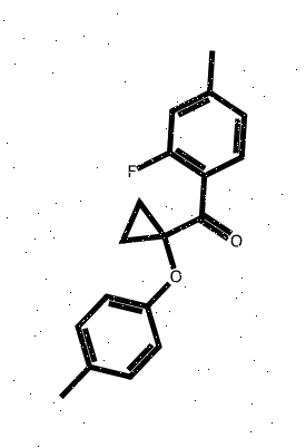 Cc1ccc(OC2(C(=O)c3ccc(C)cc3F)CC2)cc1